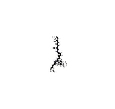 CCCCC/C=C/CC(O[Si](C)(C)C(C)(C)C)c1ccc(/C=C/C(O)CCCC(=O)OC)s1